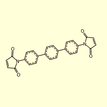 O=C1C=CC(=O)N1c1ccc(-c2ccc(-c3ccc(N4C(=O)C=CC4=O)cc3)cc2)cc1